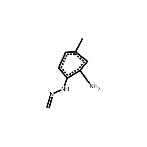 C=NNc1ccc(C)cc1N